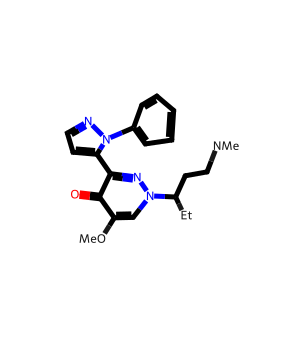 CCC(CCNC)n1cc(OC)c(=O)c(-c2ccnn2-c2ccccc2)n1